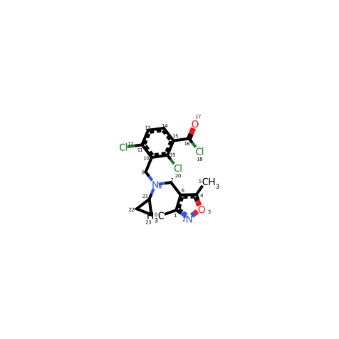 Cc1noc(C)c1CN(Cc1c(Cl)ccc(C(=O)Cl)c1Cl)C1CC1